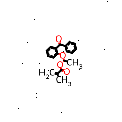 C=C(C)C(=O)OC(C)Oc1ccccc1C(=O)c1ccccc1